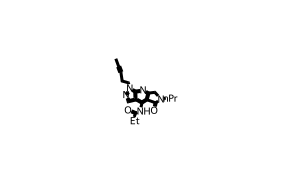 CC#CCCn1ncc2c(NC(=O)CC)c3c(nc21)CN(CCC)C3=O